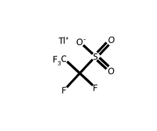 O=S(=O)([O-])C(F)(F)C(F)(F)F.[Tl+]